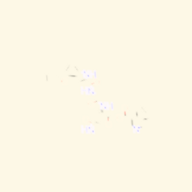 COc1cccc2[nH]c(C(=O)NCC(=O)N[C@@H](C[C@@H]3CCCNC3=O)C(=O)COC(=O)c3cncc4ccccc34)cc12